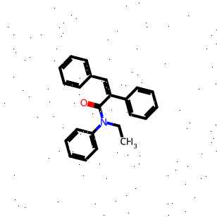 CCN(C(=O)C(=Cc1ccccc1)c1ccccc1)c1ccccc1